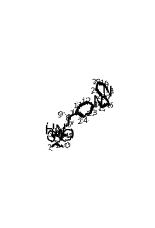 CC(C)S(=O)(=O)NC[C@H](C)c1ccc(-n2ccc3ncccc32)cc1